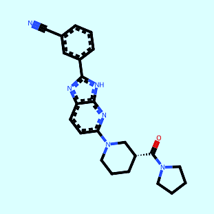 N#Cc1cccc(-c2nc3ccc(N4CCC[C@@H](C(=O)N5CCCC5)C4)nc3[nH]2)c1